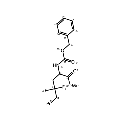 COC(=O)C(CC(F)(F)CC(C)C)NC(=O)OCc1ccccc1